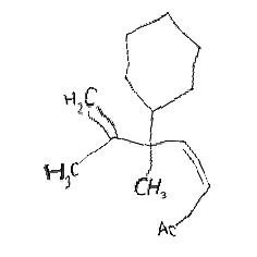 C=C(C)C(C)(/C=C\C(C)=O)C1CCCCC1